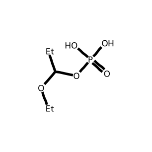 CCOC(CC)OP(=O)(O)O